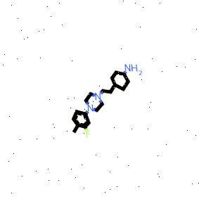 Cc1ccc(N2CCN(CCC3CCC(N)CC3)CC2)cc1F